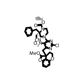 COC(=O)C1(Cc2nc(Cl)nc(N3CCN(C(=O)OC(C)(C)C)[C@](CC#N)(Cc4ccccc4)C3)c2[N+](=O)[O-])CCOc2ccccc21